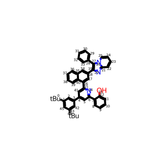 CC(C)(C)c1cc(-c2cc(-c3ccccc3O)nc(-c3cc(-c4nc5ccccn5c4-c4ccccc4)cc4ccccc34)c2)cc(C(C)(C)C)c1